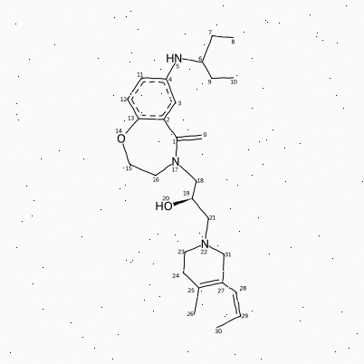 C=C1c2cc(NC(CC)CC)ccc2OCCN1C[C@H](O)CN1CCC(C)=C(/C=C\C)C1